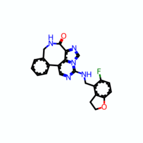 O=C1NCc2ccccc2-c2cnc(NCc3c(F)ccc4c3CCO4)n3cnc1c23